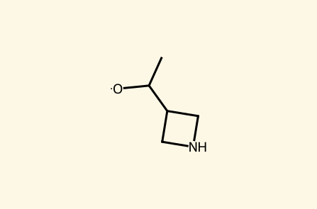 CC([O])C1CNC1